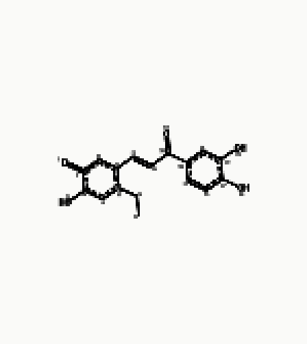 CCn1cc(O)c(=O)cc1C=CC(=O)c1ccc(O)c(O)c1